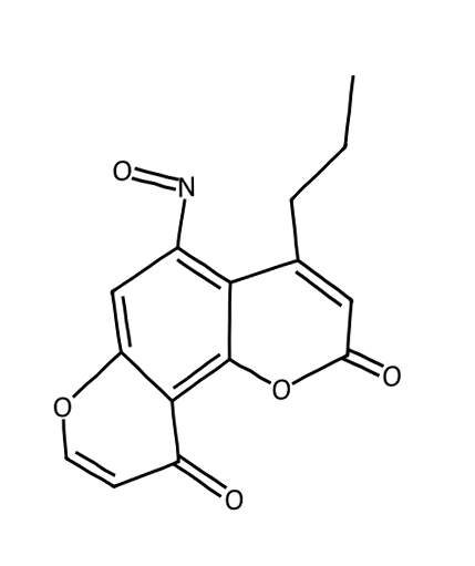 CCCc1cc(=O)oc2c1c(N=O)cc1occc(=O)c12